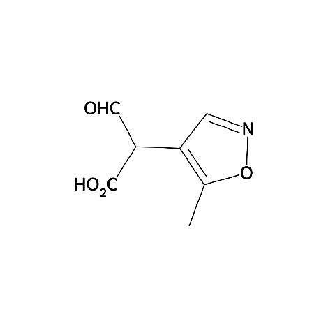 Cc1oncc1C(C=O)C(=O)O